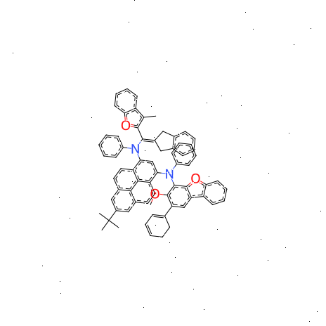 COc1c(C2=CC=CCC2)cc2c(oc3ccccc32)c1N(c1ccccc1)c1cc(N(C(=C2Cc3ccccc3C2)c2oc3ccccc3c2C)c2ccccc2)c2ccc3cc(C(C)(C)C)cc4ccc1c2c34